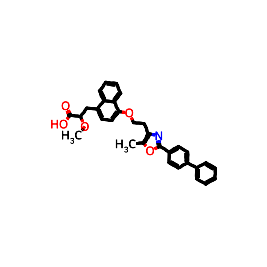 COC(Cc1ccc(OCCc2nc(-c3ccc(-c4ccccc4)cc3)oc2C)c2ccccc12)C(=O)O